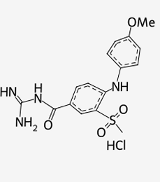 COc1ccc(Nc2ccc(C(=O)NC(=N)N)cc2S(C)(=O)=O)cc1.Cl